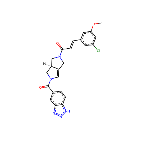 COc1cc(Cl)cc(C=CC(=O)N2CC3=CN(C(=O)c4ccc5[nH]nnc5c4)C[C@H]3C2)c1